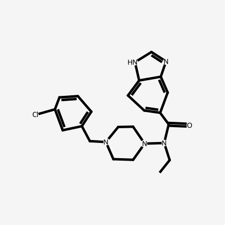 CCN(C(=O)c1ccc2[nH]cnc2c1)N1CCN(Cc2cccc(Cl)c2)CC1